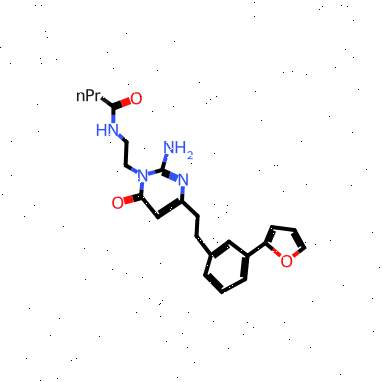 CCCC(=O)NCCn1c(N)nc(CCc2cccc(-c3ccco3)c2)cc1=O